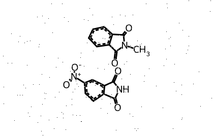 CN1C(=O)c2ccccc2C1=O.O=C1NC(=O)c2cc([N+](=O)[O-])ccc21